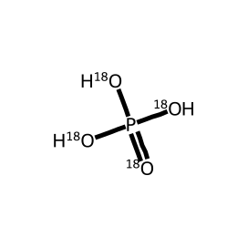 [18O]=P([18OH])([18OH])[18OH]